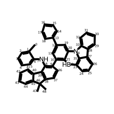 Cc1ccccc1Nc1c(-c2cc(-c3ccccc3)cc3c2Bc2cccc4c5ccccc5n-3c24)ccc2c1-c1ccccc1C2(C)C